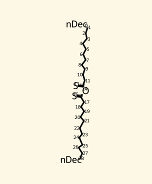 CCCCCCCCCCCCCCCCCCCCCC(=S)OC(=S)CCCCCCCCCCCCCCCCCCCCC